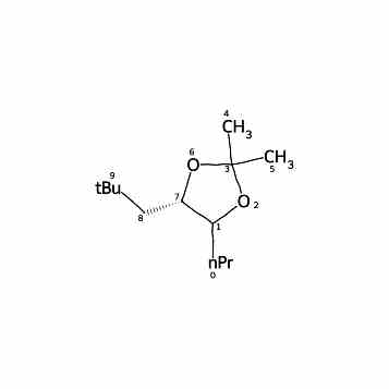 CCCC1OC(C)(C)O[C@H]1CC(C)(C)C